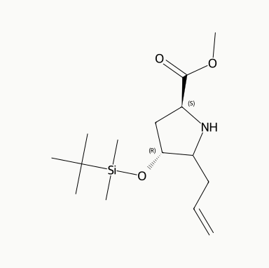 C=CCC1N[C@H](C(=O)OC)C[C@H]1O[Si](C)(C)C(C)(C)C